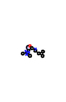 C=C1C2=CC(c3ccc(-c4ccc5c6ccccc6c6ccccc6c5c4)cn3)CC=C2OC/C=C\C=C/1c1nc(-c2ccccc2)nc(-c2ccccc2)n1